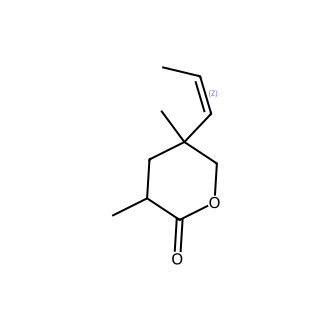 C/C=C\C1(C)COC(=O)C(C)C1